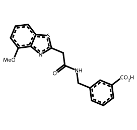 COc1cccc2sc(CC(=O)NCc3cccc(C(=O)O)c3)nc12